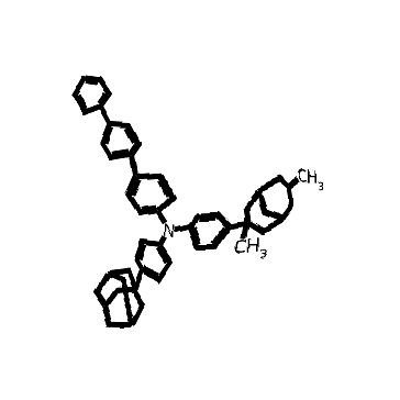 CC1CC2CC(C1)CC(C)(c1ccc(N(c3ccc(-c4ccc(-c5ccccc5)cc4)cc3)c3ccc(C45CC6CC(CC(C6)C4)C5)cc3)cc1)C2